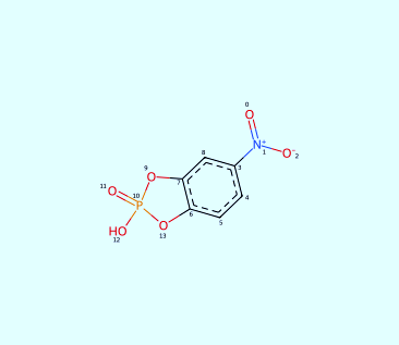 O=[N+]([O-])c1ccc2c(c1)OP(=O)(O)O2